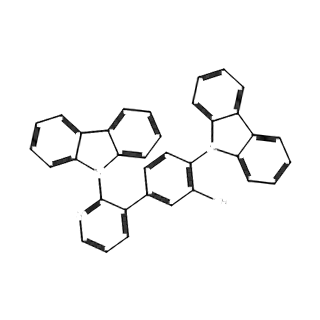 N#Cc1cc(-c2cccnc2-n2c3ccccc3c3ccccc32)ccc1-n1c2ccccc2c2ccccc21